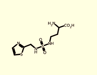 NC(CCNS(=O)(=O)NCc1nccs1)C(=O)O